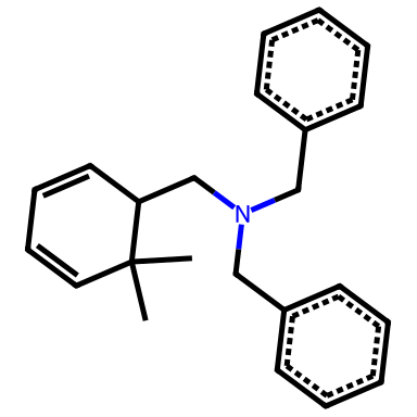 CC1(C)C=CC=CC1CN(Cc1ccccc1)Cc1ccccc1